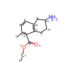 CCOC(=O)c1c(C)ccc2c1CCC(N)C2